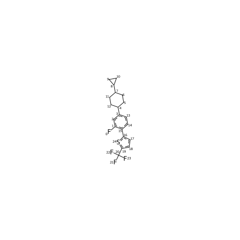 Fc1cc(C2CCC(C3CC3)CC2)ccc1-c1ccc(C(F)(F)F)s1